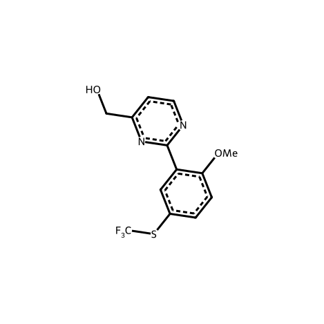 COc1ccc(SC(F)(F)F)cc1-c1nccc(CO)n1